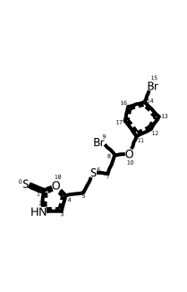 S=c1[nH]cc(CSCC(Br)Oc2ccc(Br)cc2)o1